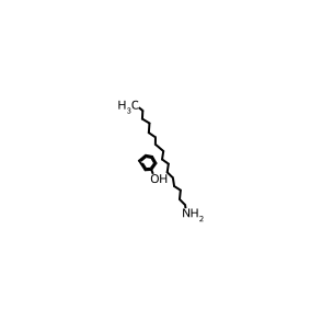 CCCCCCCCCCCCCCCCN.Oc1ccccc1